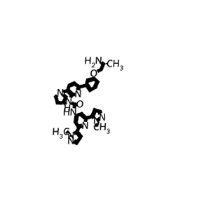 C[C@@H](N)COc1cccc(-c2ccc3c(n2)N(C(=O)Nc2cc(-c4ccnn4C)nc(-c4ccnn4C)c2)[C@H]2CCN3C2)c1